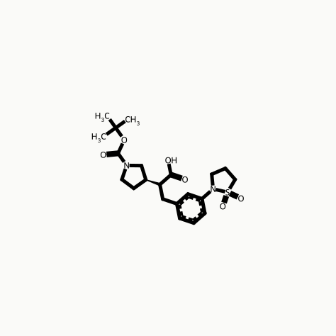 CC(C)(C)OC(=O)N1CC[C@H](C(Cc2cccc(N3CCCS3(=O)=O)c2)C(=O)O)C1